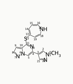 Cn1cc(-c2cn3nccc3c(SC3=CC=CNC=C3)n2)cn1